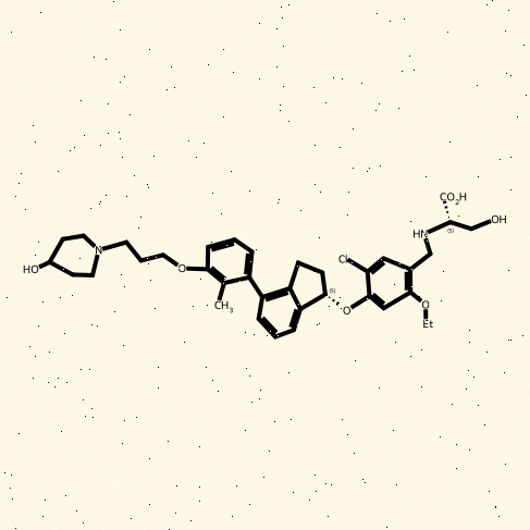 CCOc1cc(O[C@H]2CCc3c(-c4cccc(OCCCN5CCC(O)CC5)c4C)cccc32)c(Cl)cc1CN[C@@H](CO)C(=O)O